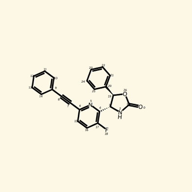 O=C1N[C@H](c2nc(C#Cc3ccccc3)ccc2F)[C@@H](c2ccccc2)O1